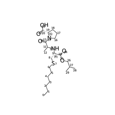 CCCCCCCSC[C@H](NC(C)C(=O)N1CCC[C@H]1C(=O)O)C(=O)OCC(C)C